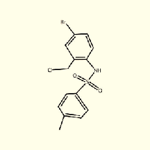 Cc1ccc(S(=O)(=O)Nc2ccc(Br)cc2CCl)cc1